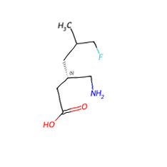 CC(CF)C[C@H](CN)CC(=O)O